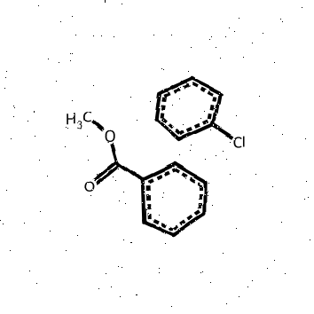 COC(=O)c1ccccc1.Clc1ccccc1